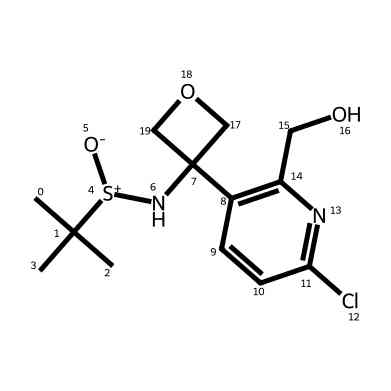 CC(C)(C)[S+]([O-])NC1(c2ccc(Cl)nc2CO)COC1